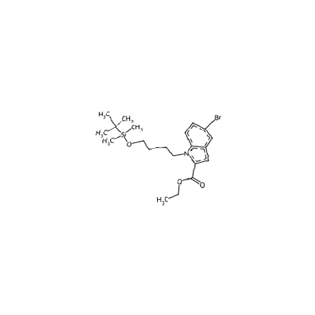 CCOC(=O)c1cc2cc(Br)ccc2n1CCCCO[Si](C)(C)C(C)(C)C